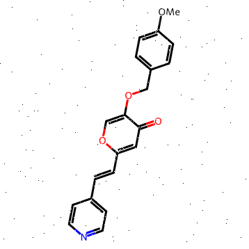 COc1ccc(COc2coc(/C=C/c3ccncc3)cc2=O)cc1